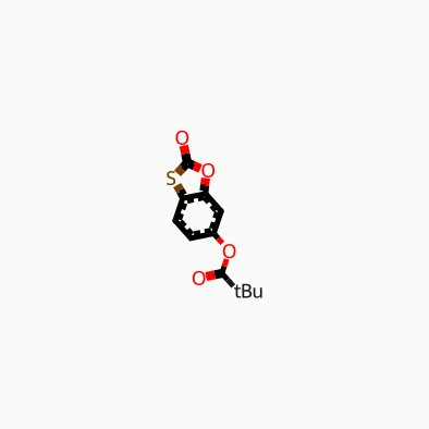 CC(C)(C)C(=O)Oc1ccc2sc(=O)oc2c1